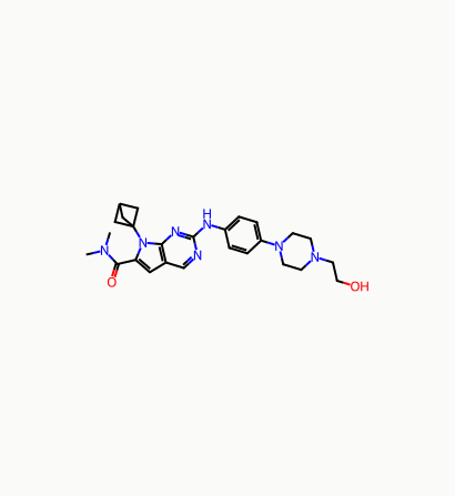 CN(C)C(=O)c1cc2cnc(Nc3ccc(N4CCN(CCO)CC4)cc3)nc2n1C12CC(C1)C2